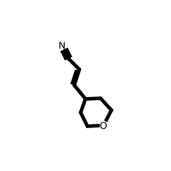 N#CC=CC1CCOCC1